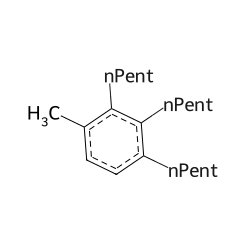 CCCCCc1ccc(C)c(CCCCC)c1CCCCC